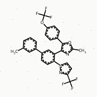 Cc1cccc(-c2ccc(-n3ccc(C(F)(F)F)n3)c(-c3nc(C)oc3-c3ccc(OC(F)(F)F)cc3)c2)c1